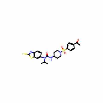 CC(=O)c1ccc(S(=O)(=O)N2CCC(NC(=O)N(c3ccc4nc(S)sc4c3)C(C)C)CC2)cc1